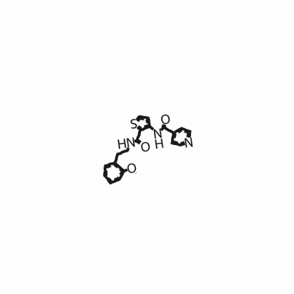 COc1ccccc1CCNC(=O)c1sccc1NC(=O)c1ccncc1